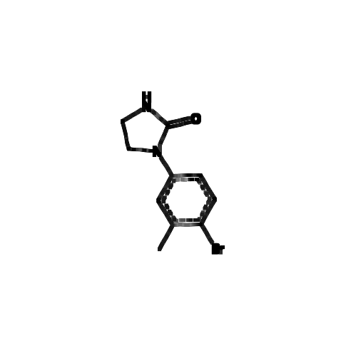 Cc1cc(N2CCNC2=O)ccc1Br